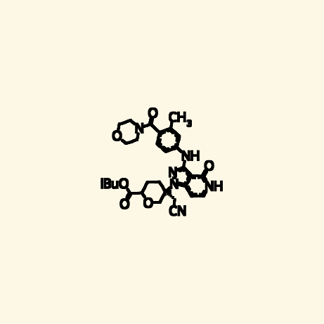 Cc1cc(Nc2nn([C@]3(CC#N)CCC(C(=O)OCC(C)C)OC3)c3cc[nH]c(=O)c23)ccc1C(=O)N1CCOCC1